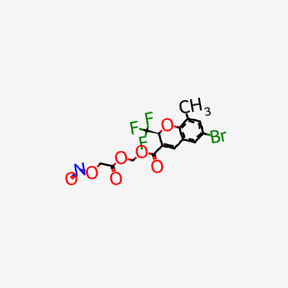 Cc1cc(Br)cc2c1O[C@H](C(F)(F)F)C(C(=O)OCOC(=O)CON=O)=C2